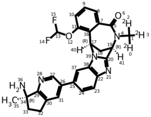 [2H]C([2H])([2H])N1C(=O)c2cccc(OC(F)F)c2[C@H]2C[C@@H]1c1nc3ccc(-c4cnc5c(c4)CC[C@@]5(C)N)cc3n12